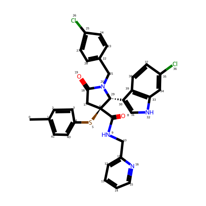 Cc1ccc(S[C@@]2(C(=O)NCc3ccccn3)CC(=O)N(Cc3ccc(Cl)cc3)[C@@H]2c2c[nH]c3cc(Cl)ccc23)cc1